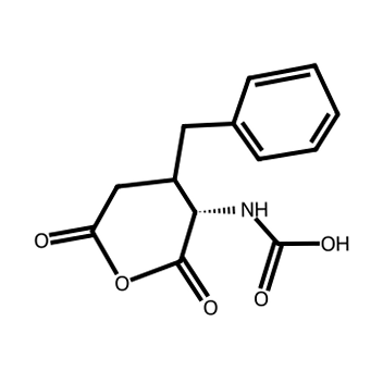 O=C(O)N[C@@H]1C(=O)OC(=O)CC1Cc1ccccc1